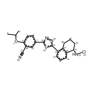 CC(C)Oc1ccc(-c2nnc(-c3cccc4c3CCC[C@H]4NCl)s2)cc1C#N